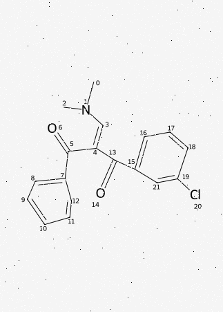 CN(C)C=C(C(=O)c1ccccc1)C(=O)c1cccc(Cl)c1